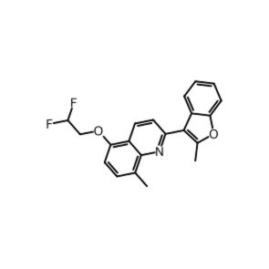 Cc1oc2ccccc2c1-c1ccc2c(OCC(F)F)ccc(C)c2n1